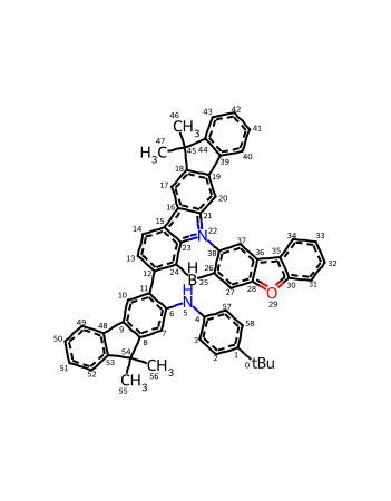 CC(C)(C)c1ccc(Nc2cc3c(cc2-c2ccc4c5cc6c(cc5n5c4c2Bc2cc4oc7ccccc7c4cc2-5)-c2ccccc2C6(C)C)-c2ccccc2C3(C)C)cc1